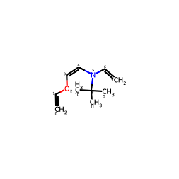 C=CO/C=C\N(C=C)C(C)(C)C